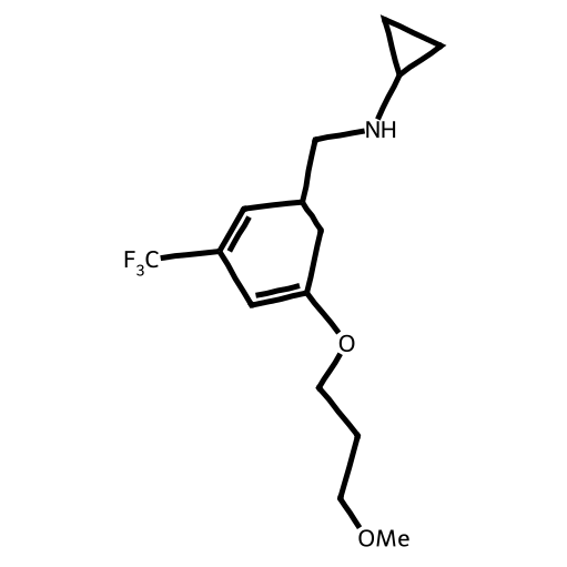 COCCCOC1=CC(C(F)(F)F)=CC(CNC2CC2)C1